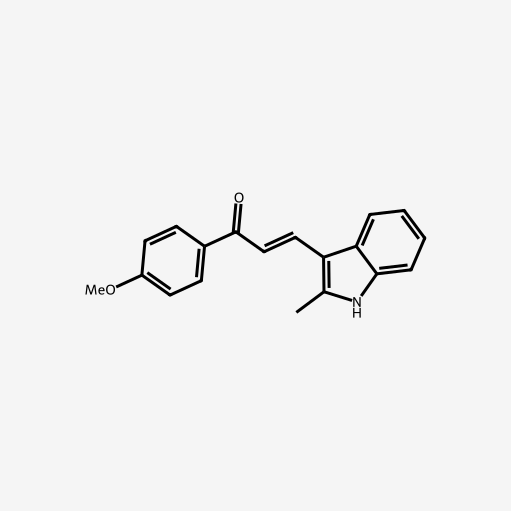 COc1ccc(C(=O)C=Cc2c(C)[nH]c3ccccc23)cc1